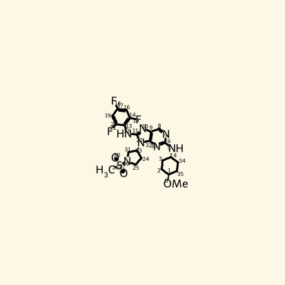 CO[C@H]1CC[C@H](Nc2ncc3nc(Nc4c(F)cc(F)cc4F)n([C@@H]4CCN(S(C)(=O)=O)C4)c3n2)CC1